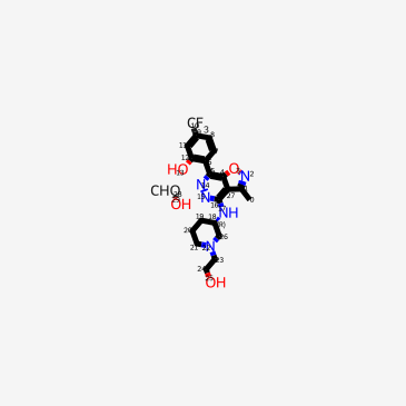 Cc1noc2c(-c3ccc(C(F)(F)F)cc3O)nnc(N[C@@H]3CCCN(CCO)C3)c12.O=CO